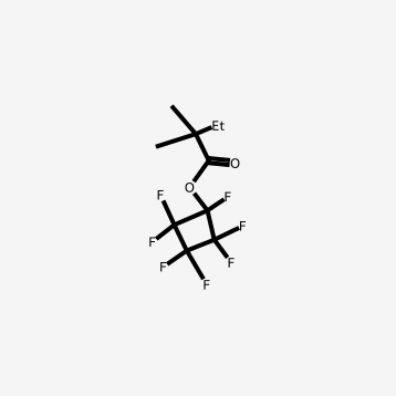 CCC(C)(C)C(=O)OC1(F)C(F)(F)C(F)(F)C1(F)F